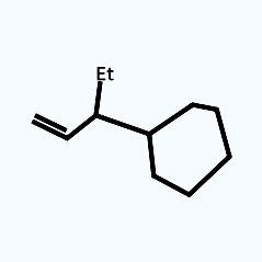 C=CC(CC)C1CCCCC1